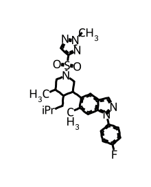 Cc1cc2c(cnn2-c2ccc(F)cc2)cc1C1CN(S(=O)(=O)c2cnn(C)n2)CC(C)C1CC(C)C